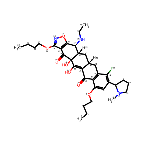 CCCCOc1cc(C2CCCN2C)c(F)c2c1C(=O)C1=C(O)[C@]3(O)C(=O)c4c(OCCCC)noc4[C@@H](NCC)[C@@H]3C[C@@H]1C2